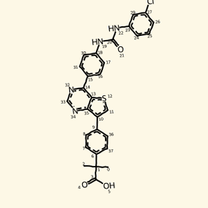 CC(C)(C(=O)O)c1ccc(-c2csc3c(-c4ccc(NC(=O)Nc5cccc(Cl)c5)cc4)ncnc23)cc1